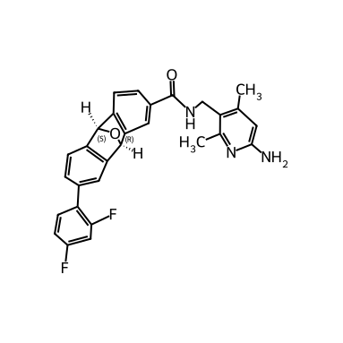 Cc1cc(N)nc(C)c1CNC(=O)c1ccc2c(c1)[C@@H]1O[C@H]2c2ccc(-c3ccc(F)cc3F)cc21